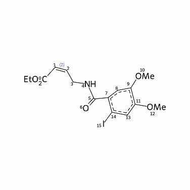 CCOC(=O)/C=C\CNC(=O)c1cc(OC)c(OC)cc1I